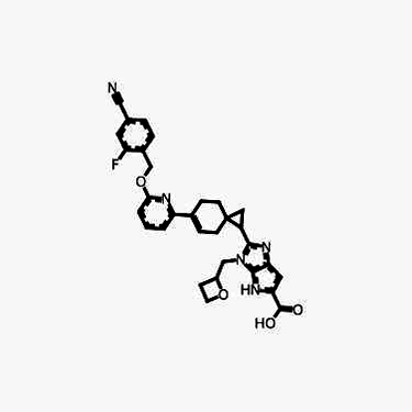 N#Cc1ccc(COc2cccc(C3=CCC4(CC3)CC4c3nc4cc(C(=O)O)[nH]c4n3CC3CCO3)n2)c(F)c1